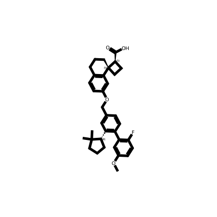 COc1ccc(F)c(-c2ccc(COc3ccc4c(c3)[C@@]3(CCC4)CC[C@@H]3C(=O)O)cc2[C@@H]2CCCC2(C)C)c1